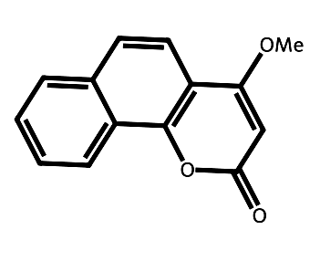 COc1cc(=O)oc2c1ccc1ccccc12